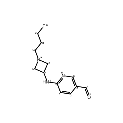 O=Cc1ccc(NC2CN(CCCF)C2)nc1